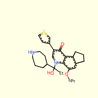 CCCOc1cc2c(c3c(=O)c(-c4ccsc4)cn(C(O)(CC)C4CCCNCC4)c13)CCC2